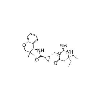 CCC1(CC)CC(=O)N(C[C@@H]2C[C@H]2C(=O)N[C@@H]2c3ccccc3OCC2(C)C)C(=N)N1